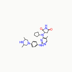 Cc1cnc(Nc2ccc(N3CC(C)NC(C)C3)cc2)nc1N(C1CCCC1)C1CC(=O)NC1=O